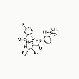 CCc1c(C(F)(F)F)nnc(Oc2ccc(F)cc2OC)c1C(=O)Nc1cccc([S@@](C)(=N)=O)c1